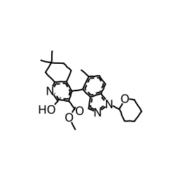 COC(=O)c1c(O)nc2c(c1-c1c(C)ccc3c1cnn3C1CCCCO1)CCC(C)(C)C2